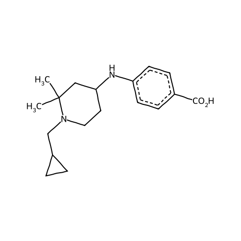 CC1(C)CC(Nc2ccc(C(=O)O)cc2)CCN1CC1CC1